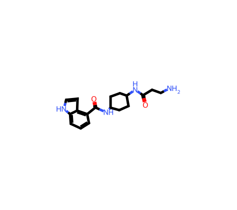 NCCC(=O)NC1CCC(NC(=O)c2cccc3[nH]ccc23)CC1